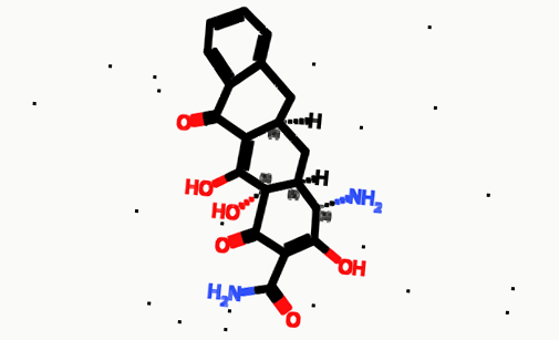 NC(=O)C1=C(O)[C@@H](N)[C@@H]2C[C@@H]3Cc4ccccc4C(=O)C3=C(O)[C@]2(O)C1=O